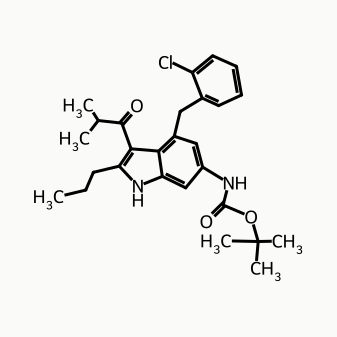 CCCc1[nH]c2cc(NC(=O)OC(C)(C)C)cc(Cc3ccccc3Cl)c2c1C(=O)C(C)C